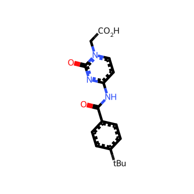 CC(C)(C)c1ccc(C(=O)Nc2ccn(CC(=O)O)c(=O)n2)cc1